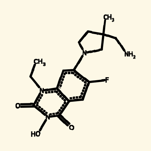 CCn1c(=O)n(O)c(=O)c2cc(F)c(N3CCC(C)(CN)C3)cc21